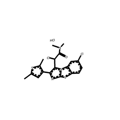 Cc1cc(-c2nc3sc4ccc(Cl)cc4n3c2C(Cl)C(=O)N(C)C)c(C)s1.Cl